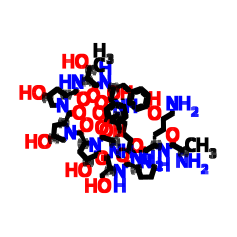 C[C@H](N)C(=O)N[C@@H](CCCCN)C(=O)N1CCC[C@H]1C(=O)N[C@@H](CO)C(=O)N[C@@H](Cc1ccc(O)cc1)C(=O)N1C[C@H](O)C[C@H]1C(=O)N1C[C@H](O)C[C@H]1C(=O)N1C[C@H](O)C[C@H]1C(=O)N[C@H](C(=O)N[C@@H](Cc1ccc(O)cc1)C(=O)N[C@@H](CCCCN)C(=O)O)[C@@H](C)O